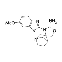 COc1ccc2nc(N3C(N)OCC34CN3CCC4CC3)sc2c1